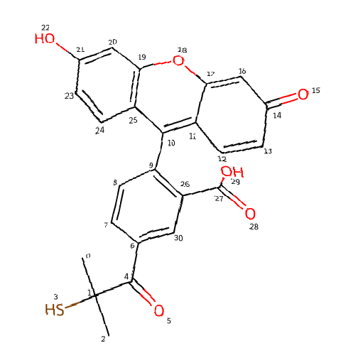 CC(C)(S)C(=O)c1ccc(-c2c3ccc(=O)cc-3oc3cc(O)ccc23)c(C(=O)O)c1